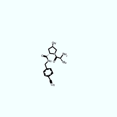 C#Cc1ccc(CNC(=O)[C@@H]2C[C@@H](O)CN2C(=O)[C@@H](N)C(C)(C)C)cc1